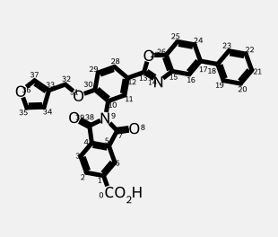 O=C(O)c1ccc2c(c1)C(=O)N(c1cc(-c3nc4cc(-c5ccccc5)ccc4o3)ccc1OCc1ccoc1)C2=O